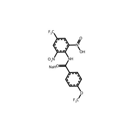 O=C(Nc1c([N+](=O)[O-])cc(C(F)(F)F)cc1[N+](=O)O)c1ccc(OC(F)(F)F)cc1.[NaH]